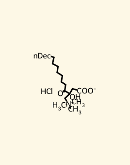 CCCCCCCCCCCCCCCCCC(=O)C(O)(CC(=O)[O-])C[N+](C)(C)C.Cl